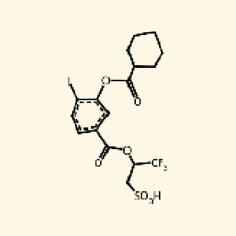 O=C(OC(CS(=O)(=O)O)C(F)(F)F)c1ccc(I)c(OC(=O)C2CCCCC2)c1